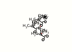 CCCC[N+](CCCC)(CCCC)CCCC(Cc1ccccc1)Cc1ccccc1.CCCC[N+](CCCC)(CCCC)CCCC(Cc1ccccc1)Cc1ccccc1.CCCC[N+](CCCC)(CCCC)CCCC(Cc1ccccc1)Cc1ccccc1.O=P([O-])([O-])[O-]